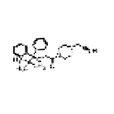 C#CCN1CCN(C(=O)CO[Si](c2ccccc2)(c2ccccc2)C(C)(C)C)CC1